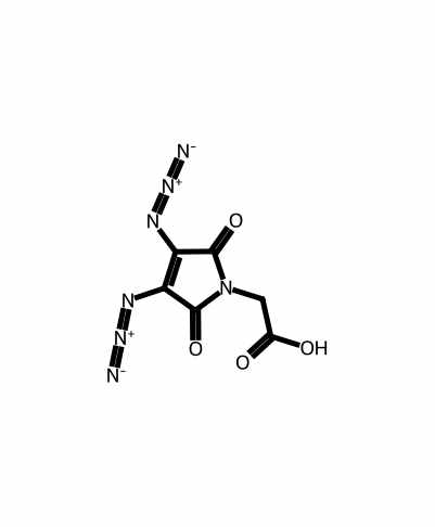 [N-]=[N+]=NC1=C(N=[N+]=[N-])C(=O)N(CC(=O)O)C1=O